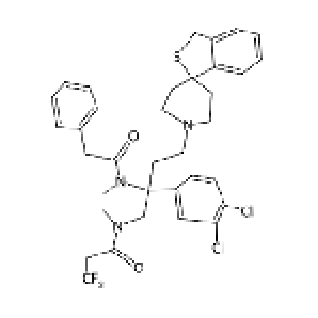 CN(CC(CCN1CCC2(CC1)SCc1ccccc12)(c1ccc(Cl)c(Cl)c1)N(C)C(=O)Cc1ccccc1)C(=O)CC(F)(F)F